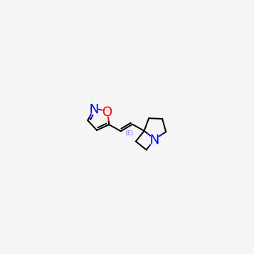 C(=C\C12CCCN1CC2)/c1ccno1